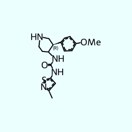 COc1ccc([C@@H]2CNCCC2NC(=O)Nc2cc(C)ns2)cc1